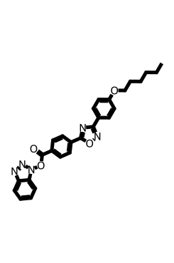 CCCCCCOc1ccc(-c2noc(-c3ccc(C(=O)On4nnc5ccccc54)cc3)n2)cc1